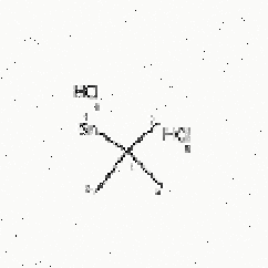 C[C](C)(C)[Sn].Cl.Cl